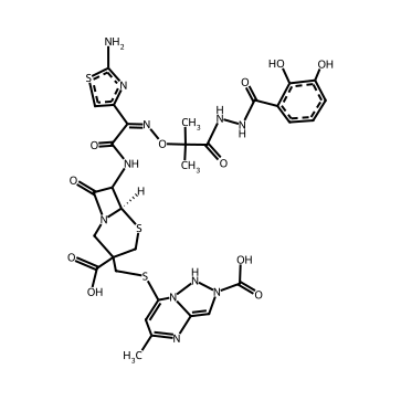 CC1=NC2=CN(C(=O)O)NN2C(SCC2(C(=O)O)CS[C@@H]3C(NC(=O)C(=NOC(C)(C)C(=O)NNC(=O)c4cccc(O)c4O)c4csc(N)n4)C(=O)N3C2)=C1